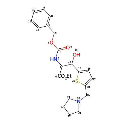 CCOC(=O)C(NC(=O)OCc1ccccc1)C(O)c1ccc(CN2CCCC2)s1